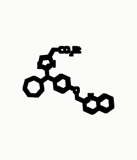 CCOC(=O)Cc1csc(C(c2ccc(OCc3ccc4ccccc4n3)cc2)C2CCCCCC2)n1